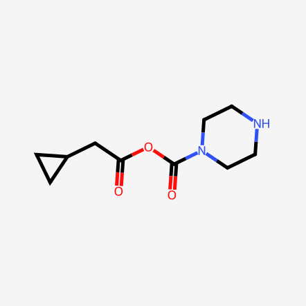 O=C(CC1CC1)OC(=O)N1CCNCC1